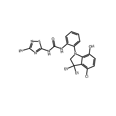 CCC1(CC)CN(c2ccccc2NC(=O)Nc2nc(C(C)C)ns2)c2c(O)ccc(Cl)c21